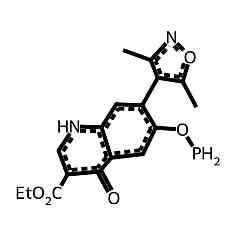 CCOC(=O)c1c[nH]c2cc(-c3c(C)noc3C)c(OP)cc2c1=O